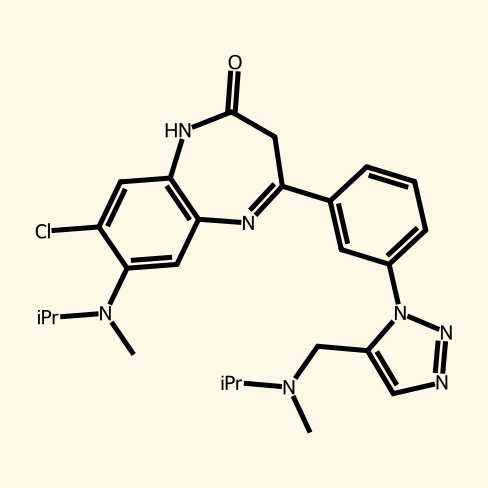 CC(C)N(C)Cc1cnnn1-c1cccc(C2=Nc3cc(N(C)C(C)C)c(Cl)cc3NC(=O)C2)c1